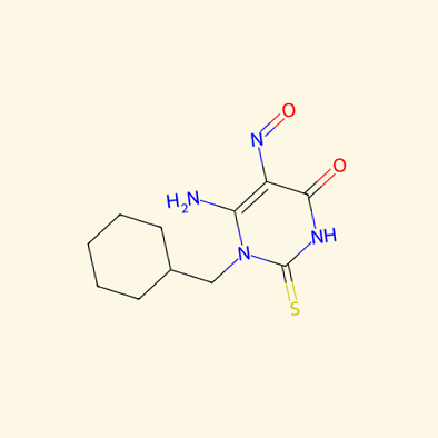 Nc1c(N=O)c(=O)[nH]c(=S)n1CC1CCCCC1